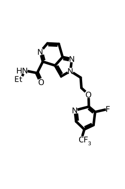 CCNC(=O)c1nccc2nn(CCOc3ncc(C(F)(F)F)cc3F)cc12